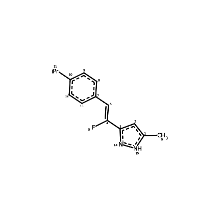 Cc1cc(C(F)=Cc2ccc(C(C)C)cc2)n[nH]1